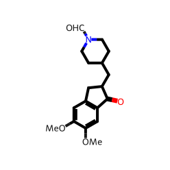 COc1cc2c(cc1OC)C(=O)C(CC1CCN(C=O)CC1)C2